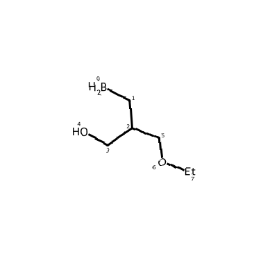 BCC(CO)COCC